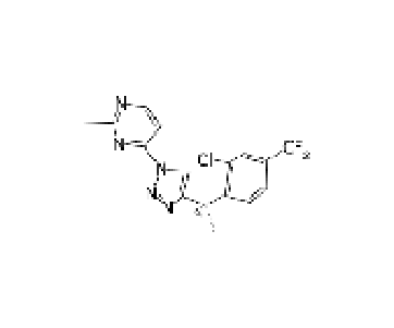 Cc1nccc(-n2cc([C@@H](C)c3ccc(C(F)(F)F)cc3Cl)nn2)n1